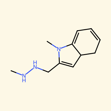 CNNCC1=CC2CC=CC=C2N1C